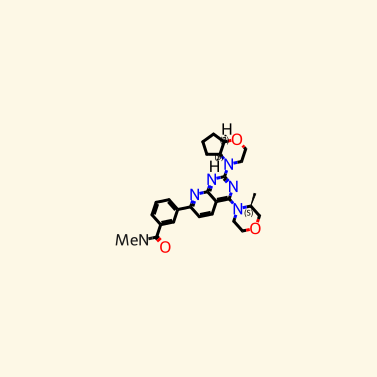 CNC(=O)c1cccc(-c2ccc3c(N4CCOC[C@@H]4C)nc(N4CCO[C@@H]5CCC[C@@H]54)nc3n2)c1